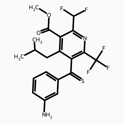 COC(=O)c1c(C(F)F)nc(C(F)(F)F)c(C(=S)c2cccc(N)c2)c1CC(C)C